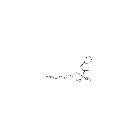 CNCCOCCCC(C)(O)N1CC2CCCC2C1